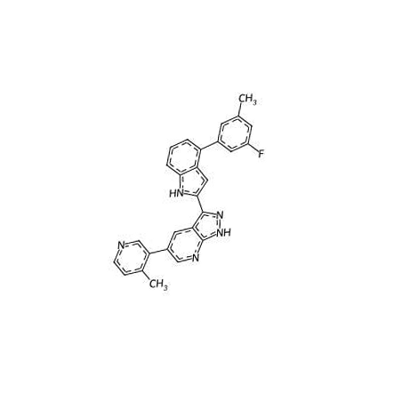 Cc1cc(F)cc(-c2cccc3[nH]c(-c4n[nH]c5ncc(-c6cnccc6C)cc45)cc23)c1